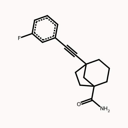 NC(=O)C12CCCC(C#Cc3cccc(F)c3)(CC1)C2